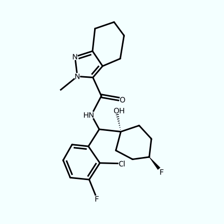 Cn1nc2c(c1C(=O)NC(c1cccc(F)c1Cl)[C@]1(O)CC[C@H](F)CC1)CCCC2